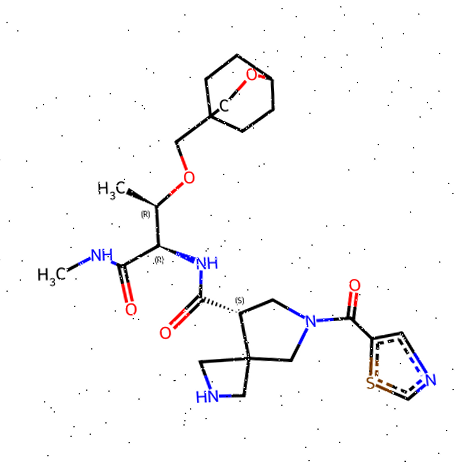 CNC(=O)[C@H](NC(=O)[C@@H]1CN(C(=O)c2cncs2)CC12CNC2)[C@@H](C)OCC12CCC(CC1)OC2